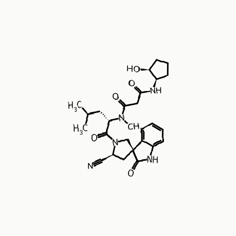 CC(C)C[C@@H](C(=O)N1C[C@]2(C[C@H]1C#N)C(=O)Nc1ccccc12)N(C)C(=O)CC(=O)N[C@@H]1CCC[C@@H]1O